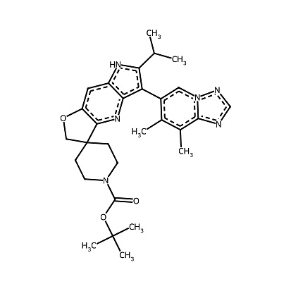 Cc1c(-c2c(C(C)C)[nH]c3cc4c(nc23)C2(CCN(C(=O)OC(C)(C)C)CC2)CO4)cn2ncnc2c1C